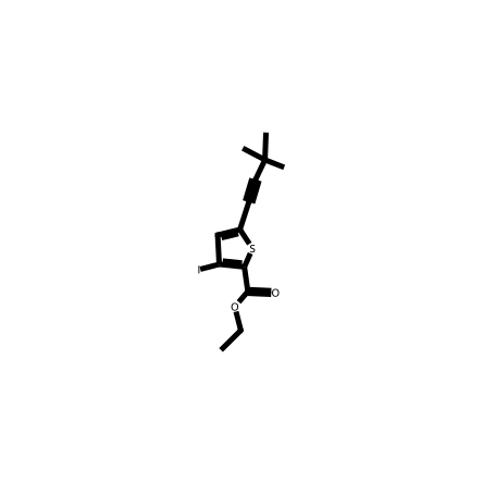 CCOC(=O)c1sc(C#CC(C)(C)C)cc1I